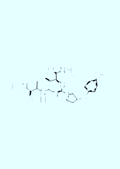 C=C/C(=N\C(=N/CNC(C)C(N)=O)N1CC[C@H](Oc2ccc(C(F)(F)F)cc2)C1)C(N)=O